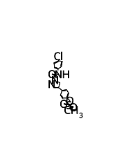 CS(=O)(=O)Oc1ccc(C2C=NN(C(=O)Nc3ccc(Cl)cc3)C2)cc1